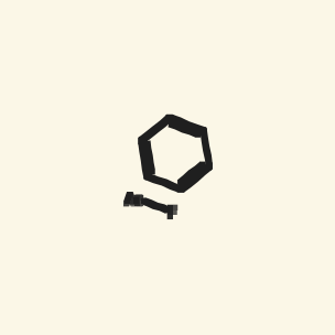 CC(=O)F.c1ccccc1